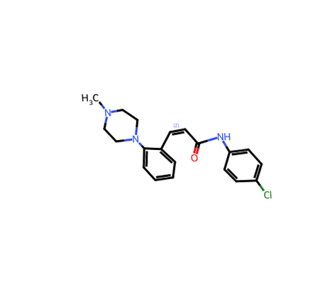 CN1CCN(c2ccccc2/C=C\C(=O)Nc2ccc(Cl)cc2)CC1